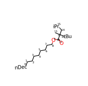 CCCCCCCCCCCCCCCCCCOC(=O)C(C)(CC(C)C)C(C)(C)C